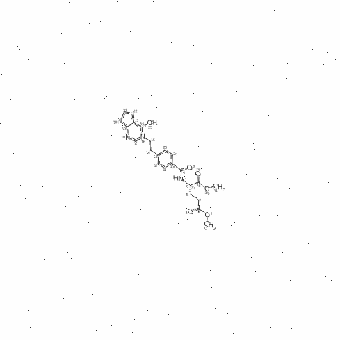 COC(=O)CC[C@H](NC(=O)c1ccc(CCn2cnc3nccc-3c2O)cc1)C(=O)OC